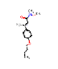 CCCCOc1ccc(/C(C)=C/C(=O)N(C)OC)cc1